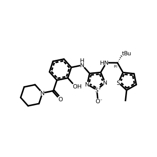 Cc1ccc([C@H](Nc2n[s+]([O-])nc2Nc2cccc(C(=O)N3CCCCC3)c2O)C(C)(C)C)s1